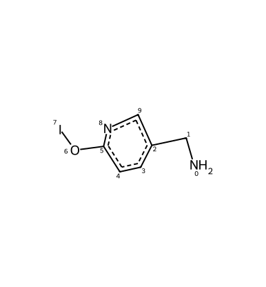 NCc1ccc(OI)nc1